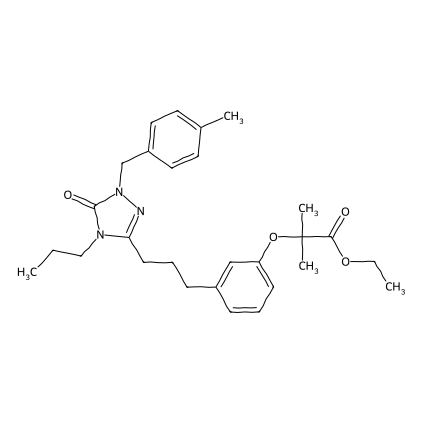 CCCn1c(CCCc2cccc(OC(C)(C)C(=O)OCC)c2)nn(Cc2ccc(C)cc2)c1=O